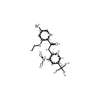 CCSc1cc(Br)cnc1C(=O)Cc1ncc(C(F)(F)F)cc1[N+](=O)[O-]